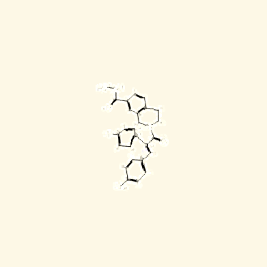 O=C(NO)c1ccc2c(c1)CN(C(=O)/C(=C/c1ccc(Cl)cc1)c1ccc(F)cc1)CC2